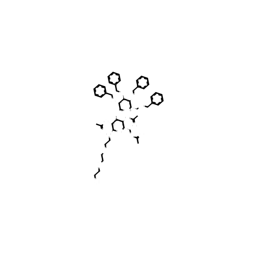 CC(=O)OC[C@H]1O[C@@H](OCCOCCOCCCl)[C@H](OC(C)=O)[C@@H](O[C@H]2O[C@H](COCc3ccccc3)[C@H](OCc3ccccc3)[C@H](OCc3ccccc3)[C@H]2OCc2ccccc2)[C@H]1OC(C)=O